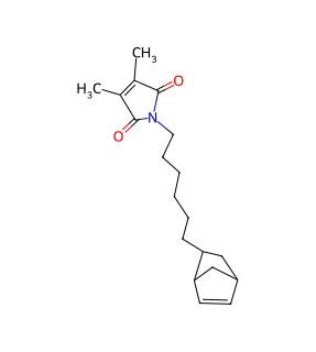 CC1=C(C)C(=O)N(CCCCCCC2CC3C=CC2C3)C1=O